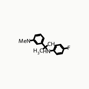 CNc1cccc(C(C)(C)Nc2ccc(F)cc2)c1